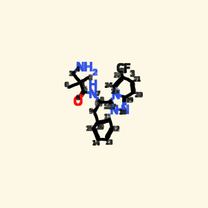 CC(C)(CN)C(=O)N[C@H](Cc1ccccc1)c1nnc2ccc(C(F)(F)F)cn12